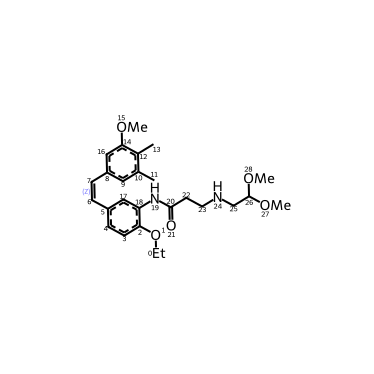 CCOc1ccc(/C=C\c2cc(C)c(C)c(OC)c2)cc1NC(=O)CCNCC(OC)OC